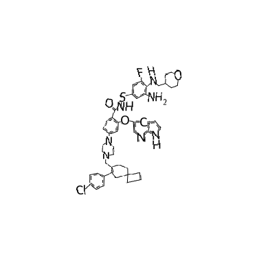 Nc1cc(SNC(=O)c2ccc(N3CCN(CC4=C(c5ccc(Cl)cc5)CC5(CCC5)CC4)CC3)cc2Oc2cnc3[nH]ccc3c2)cc(F)c1NCC1CCOCC1